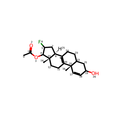 CC(=O)OC1C(F)C[C@H]2C3=C(CC[C@]12C)[C@@]1(C)C=CC(O)CC1CC3